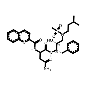 CC(C)CCN(C[C@@H](O)[C@H](Cc1ccccc1)NC(=O)C(CC(N)=O)NC(=O)c1ccc2ccccc2n1)S(C)(=O)=O